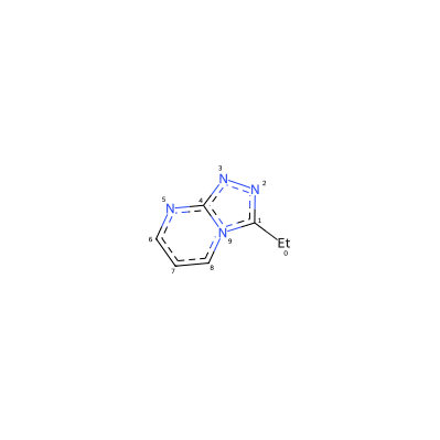 CCc1nnc2ncccn12